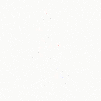 COC1(C(=O)COC(=O)CC2(CSC(CCc3ccccc3C(C)(C)O)c3cccc(/C=C/c4ccc5ccc(Cl)cc5n4)c3)CC2)C(O)CC2C3CCC4=CC(=O)C=CC4(C)C3C(O)CC21C